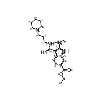 CCOC(=O)c1ccc2c(C(=N)NCCCN3CCCCC3)c(NC)[nH]c2c1